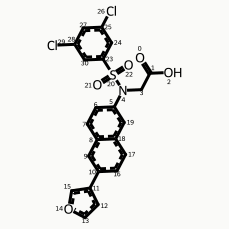 O=C(O)CN(c1ccc2cc(-c3ccoc3)ccc2c1)S(=O)(=O)c1cc(Cl)cc(Cl)c1